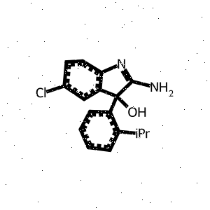 CC(C)c1ccccc1C1(O)C(N)=Nc2ccc(Cl)cc21